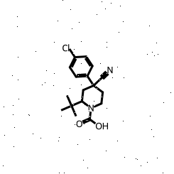 CC(C)(C)C1CC(C#N)(c2ccc(Cl)cc2)CCN1C(=O)O